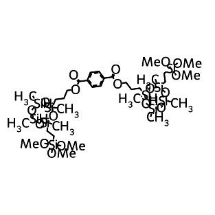 CO[Si](CC[Si]1(C)O[SiH](C)O[SiH](C)O[Si](C)(CCCOC(=O)c2ccc(C(=O)OCCC[Si]3(C)O[SiH](C)O[SiH](C)O[Si](C)(CC[Si](OC)(OC)OC)O3)cc2)O1)(OC)OC